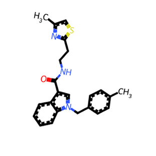 Cc1ccc(Cn2cc(C(=O)NCCc3nc(C)cs3)c3ccccc32)cc1